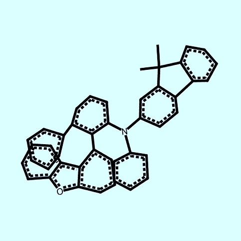 CC1(C)c2ccccc2-c2ccc(N(c3ccccc3)c3cccc(-c4ccccc4)c3-c3cccc4oc5ccccc5c34)cc21